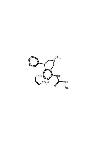 CCCCNC(=O)Nc1cccc2c1CN(C)CC2c1ccccc1.O=C(O)/C=C\C(=O)O